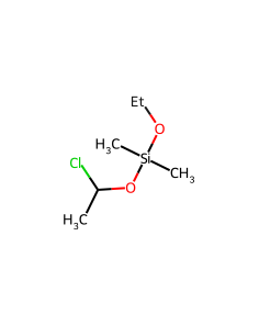 CCO[Si](C)(C)OC(C)Cl